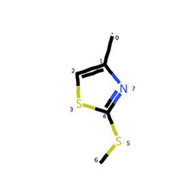 [CH2]c1csc(SC)n1